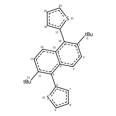 CC(C)(C)c1ccc2c(-c3cccs3)c(C(C)(C)C)ccc2c1-c1cccs1